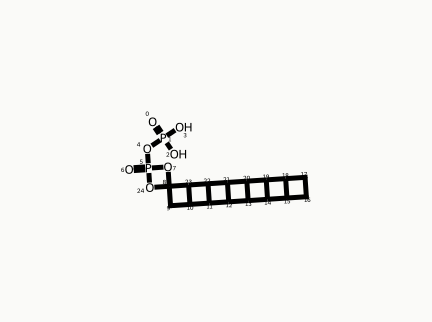 O=P(O)(O)OP1(=O)OC2(CC3C4C5C6C7C8CCC8C7C6C5C4C32)O1